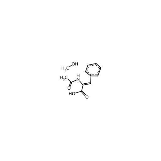 CC(=O)NC(=Cc1ccccc1)C(=O)O.CO